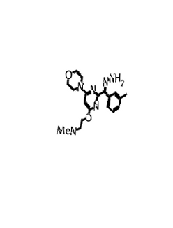 CNCCOc1cc(N2CCOCC2)nc(C(=NN)c2cccc(C)c2)n1